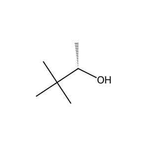 C[C@H](O)C(C)(C)C